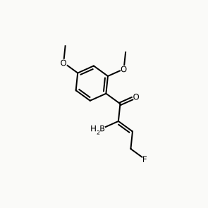 B/C(=C\CF)C(=O)c1ccc(OC)cc1OC